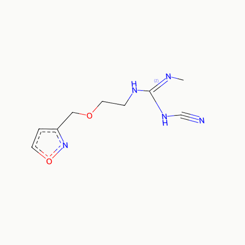 C/N=C(\NC#N)NCCOCc1ccon1